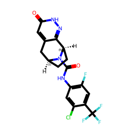 O=C(Nc1cc(Cl)c(C(F)(F)F)cc1F)N1[C@H]2CC[C@@H]1c1n[nH]c(=O)cc1C2